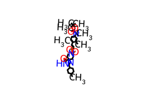 Cc1cc(N(C)C(=O)OC(C)(C)C)cc(C)c1/C=C/S(=O)(=O)N1CCC2(CC1)N=C(C1CCC(C)CC1)NC2=O